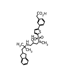 CN(C[C@H](O)CNC(C)(C)CC1Cc2ccccc2C1)S(=O)(=O)c1ccc(-c2cccc(CC(=O)O)c2)s1